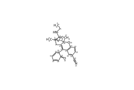 CCNC(=O)N(C)CC1=C(n2ccccc2=O)c2cc(C#N)ccc2OC1(C)C